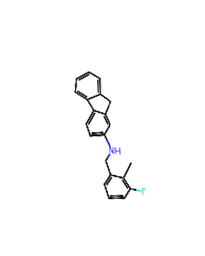 Cc1c(F)cccc1CNc1ccc2c(c1)Cc1ccccc1-2